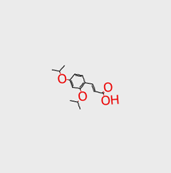 CC(C)Oc1ccc(C=CC(=O)O)c(OC(C)C)c1